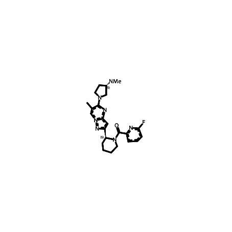 CN[C@H]1CCN(c2nc3cc([C@@H]4CCCCN4C(=O)c4cccc(F)n4)nn3cc2C)C1